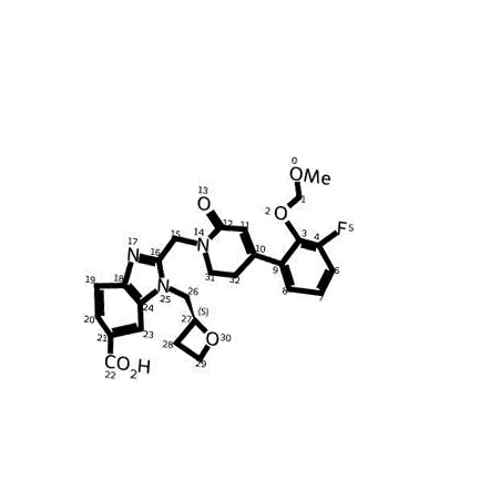 COCOc1c(F)cccc1C1=CC(=O)N(Cc2nc3ccc(C(=O)O)cc3n2C[C@@H]2CCO2)CC1